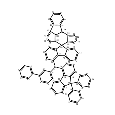 c1ccc(-c2cccc(N(c3cccc4c3-c3ccccc3C4(c3ccccc3)c3ccccc3)c3cccc4c3-c3ccccc3C43c4ccccc4-n4c5ccccc5c5cccc3c54)c2)cc1